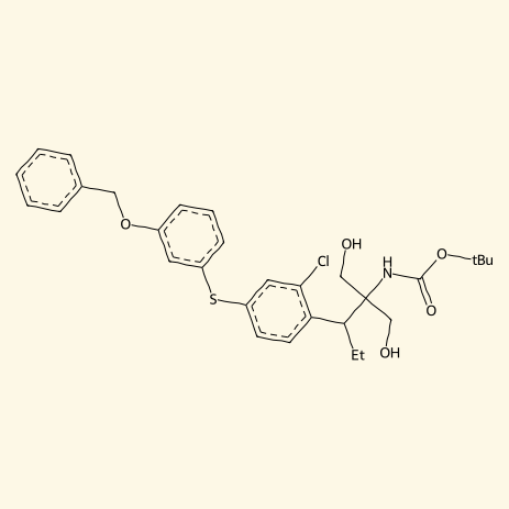 CCC(c1ccc(Sc2cccc(OCc3ccccc3)c2)cc1Cl)C(CO)(CO)NC(=O)OC(C)(C)C